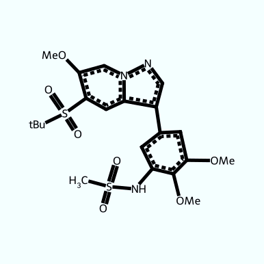 COc1cn2ncc(-c3cc(NS(C)(=O)=O)c(OC)c(OC)c3)c2cc1S(=O)(=O)C(C)(C)C